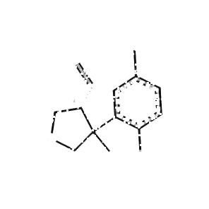 C=C[C@H]1COCC1(C)c1cc(C)ccc1F